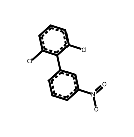 O=[N+]([O-])c1cc[c]c(-c2c(Cl)cccc2Cl)c1